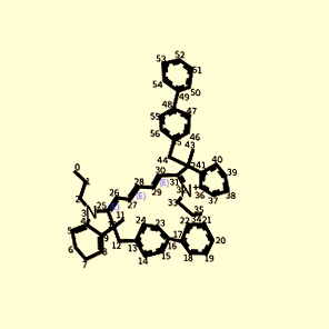 CCCN1C2=CCCC=C2C(C)(Cc2ccc(-c3ccccc3)cc2)\C1=C/C=C/C=C/C1=[N+](CCC)c2ccccc2C1(C)Cc1ccc(-c2ccccc2)cc1